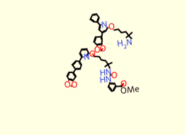 CC(C)(CN)CCCCOc1cc(-c2ccc3c(c2)OCO3)cc(-c2ccccc2)n1.COC(=O)c1cccc(NC(=O)NCC(C)(C)CCCCOc2cccc(-c3ccc(-c4ccc5c(c4)OCO5)cc3)n2)c1